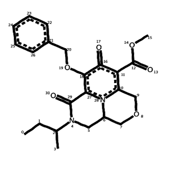 CCC(C)N1CC2COCc3c(C(=O)OC)c(=O)c(OCc4ccccc4)c(n32)C1=O